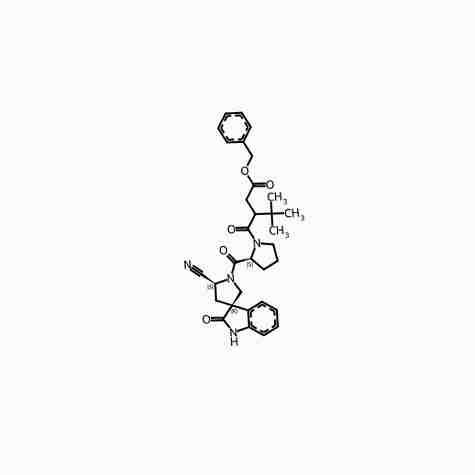 CC(C)(C)C(CC(=O)OCc1ccccc1)C(=O)N1CCC[C@H]1C(=O)N1C[C@]2(C[C@H]1C#N)C(=O)Nc1ccccc12